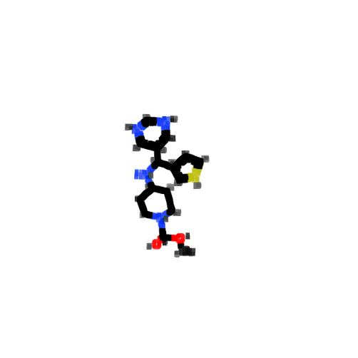 CC(C)(C)OC(=O)N1CCC(NC(c2cncnc2)c2ccsc2)CC1